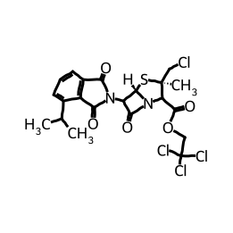 CC(C)c1cccc2c1C(=O)N(C1C(=O)N3C(C(=O)OCC(Cl)(Cl)Cl)[C@](C)(CCl)S[C@@H]13)C2=O